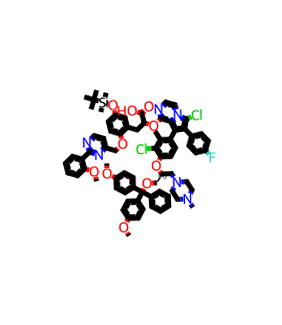 COc1ccc(C(OC[C@@H](CN2CCN(C)CC2)Oc2ccc(-c3c(-c4ccc(F)cc4)c(Cl)n4ccnc(OC(Cc5cc(O[Si](C)(C)C(C)(C)C)ccc5OCc5ccnc(-c6ccccc6OC)n5)C(=O)O)c34)c(C)c2Cl)(c2ccccc2)c2ccc(OC)cc2)cc1